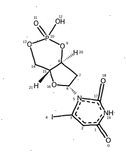 O=c1cc(I)n([C@H]2C[C@@H]3OP(=O)(O)OC[C@H]3O2)c(=O)[nH]1